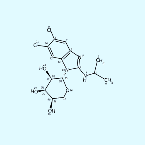 CC(C)Nc1nc2cc(Cl)c(Cl)cc2n1[C@@H]1OC[C@@H](O)[C@@H](O)[C@H]1O